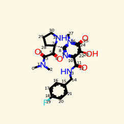 CN(C)C(=O)C(=O)[C@@]1(c2nc(C(=O)NCc3ccc(F)cc3)c(O)c(=O)n2C)CCCN1